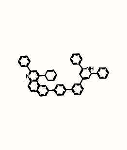 C1=CCC(c2cc(-c3ccccc3)nc3ccc4ccc(-c5ccc(-c6cccc(C7=CC(c8ccccc8)NC(c8ccccc8)=C7)c6)cc5)cc4c23)C=C1